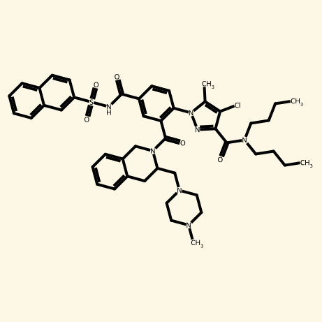 CCCCN(CCCC)C(=O)c1nn(-c2ccc(C(=O)NS(=O)(=O)c3ccc4ccccc4c3)cc2C(=O)N2Cc3ccccc3CC2CN2CCN(C)CC2)c(C)c1Cl